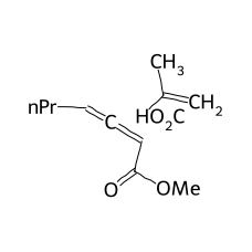 C=C(C)C(=O)O.CCCC=C=CC(=O)OC